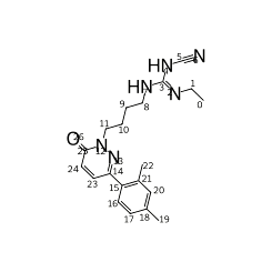 CCN=C(NC#N)NCCCCn1nc(-c2ccc(C)cc2C)ccc1=O